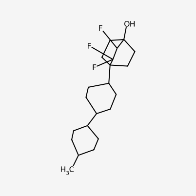 CC1CCC(C2CCC(C34CCC(O)(CC3)C(F)C4(F)F)CC2)CC1